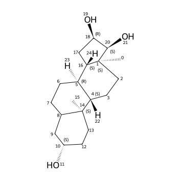 C[C@]12CC[C@H]3[C@@H](CCC4C[C@@H](O)CC[C@@]43C)[C@@H]1C[C@@H](O)[C@H]2O